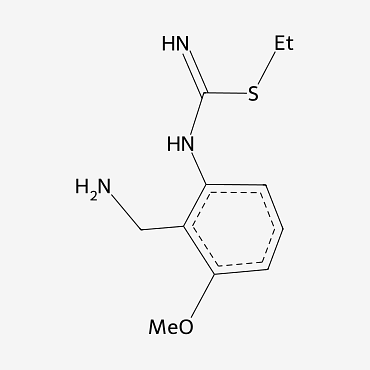 CCSC(=N)Nc1cccc(OC)c1CN